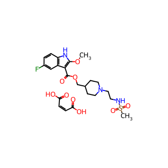 COc1[nH]c2ccc(F)cc2c1C(=O)OCC1CCN(CCNS(C)(=O)=O)CC1.O=C(O)/C=C\C(=O)O